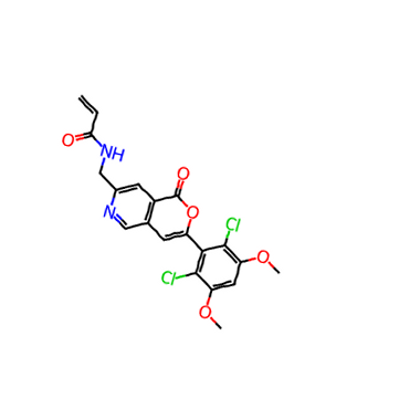 C=CC(=O)NCc1cc2c(=O)oc(-c3c(Cl)c(OC)cc(OC)c3Cl)cc2cn1